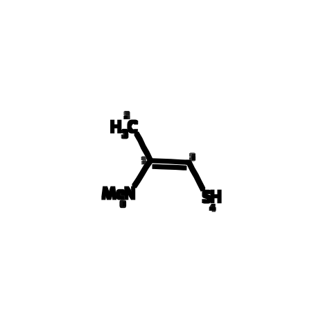 CN/C(C)=C\S